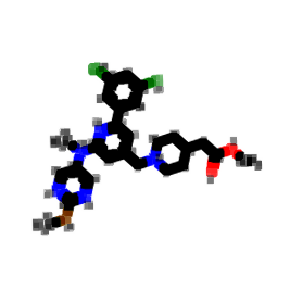 COC(=O)CC1CCN(Cc2cc(-c3cc(Cl)cc(Cl)c3)nc(N(C)c3cnc(SC)nc3)c2)CC1